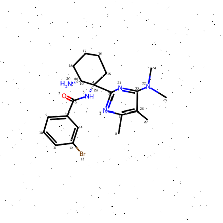 Cc1nc([C@]2(NC(=O)c3cccc(Br)c3)CCCC[C@H]2N)nc(N(C)C)c1C